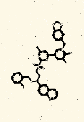 Cc1cc(-c2cc(F)c(=O)n(Cc3ccc4c(c3)OCO4)c2)nc(S(=O)(=O)CCC(OCc2ccccc2F)c2ccc3ncccc3c2)n1